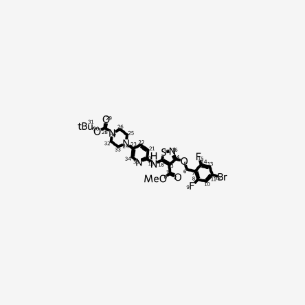 COC(=O)c1c(OCc2c(F)cc(Br)cc2F)nsc1Nc1ccc(N2CCN(C(=O)OC(C)(C)C)CC2)cn1